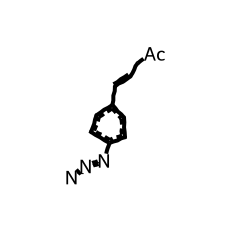 CC(=O)CC=Cc1ccc(N=[N+]=[N-])cc1